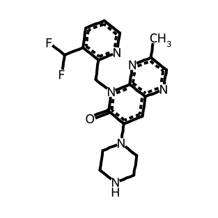 Cc1cnc2cc(N3CCNCC3)c(=O)n(Cc3ncccc3C(F)F)c2n1